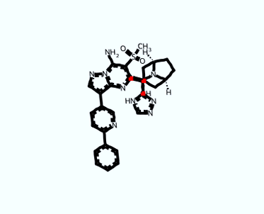 CS(=O)(=O)c1c([C@]2(O)C[C@H]3CC[C@@H](C2)N3C(=O)c2nnc[nH]2)nc2c(-c3ccc(-c4ccccc4)nc3)cnn2c1N